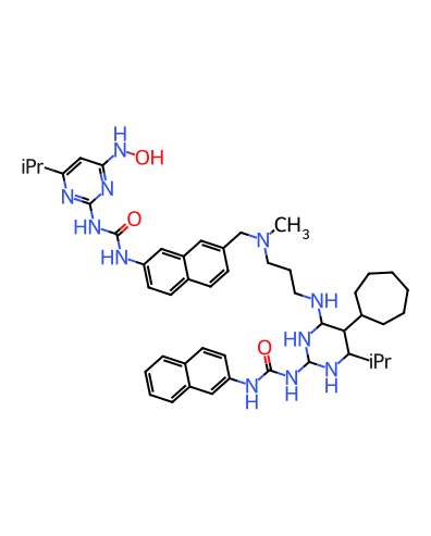 CC(C)c1cc(NO)nc(NC(=O)Nc2ccc3ccc(CN(C)CCCNC4NC(NC(=O)Nc5ccc6ccccc6c5)NC(C(C)C)C4C4CCCCCC4)cc3c2)n1